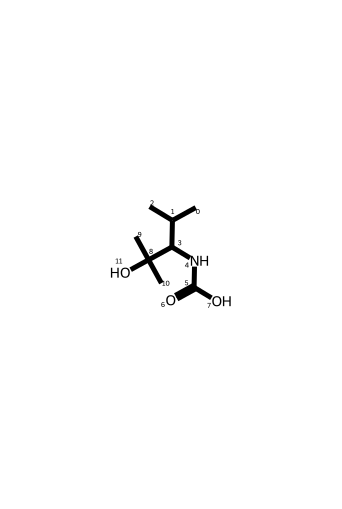 CC(C)C(NC(=O)O)C(C)(C)O